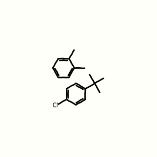 CC(C)(C)c1ccc(Cl)cc1.Cc1ccccc1C